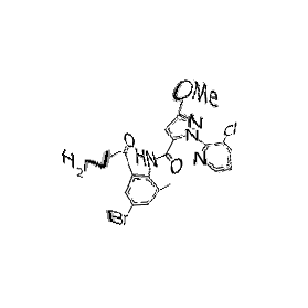 COc1cc(C(=O)Nc2c(C)cc(Br)cc2C(N)=O)n(-c2ncccc2Cl)n1